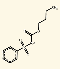 CCCCOC(=O)NS(=O)(=O)c1ccccc1